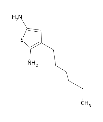 CCCCCCc1cc(N)sc1N